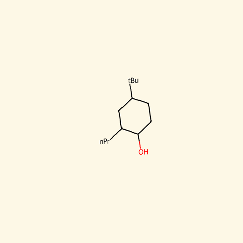 CCCC1CC(C(C)(C)C)CCC1O